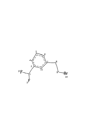 FC(F)c1cccc(CCBr)c1